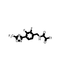 CCC(=O)C(=O)NCc1ccc(-c2noc(C(F)(F)F)n2)c(F)c1F